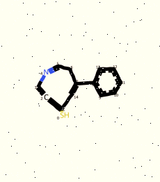 SC1=C=C/N=C\C/C(c2ccccc2)=C\1